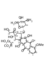 COc1cccc2c1C(=O)c1c(O)c3c(c(O)c1C2=O)C[C@@](O)(C(=O)CO)C[C@@H]3O[C@H]1C[C@H](N)[C@@H](O)[C@H](C)O1.O=C(O)CC(=O)O